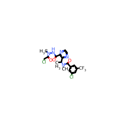 CC(c1nccnc1C(=O)NN(C)C(=O)CCl)N(C)C(=O)c1cc(Cl)cc(C(F)(F)F)c1